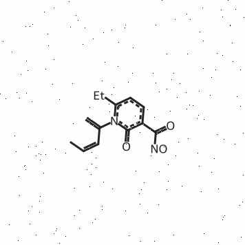 C=C(/C=C\C)n1c(CC)ccc(C(=O)N=O)c1=O